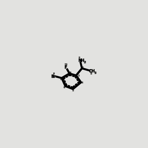 CC(N)c1cccc(Br)c1F